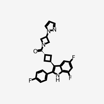 O=C([C@H]1C[C@H](c2c(-c3ccc(F)cc3)[nH]c3c(F)cc(F)cc32)C1)N1CC(n2cccn2)C1